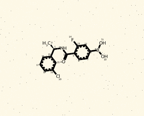 C[C@@H](NC(=O)c1ccc(B(O)O)cc1F)c1cccc(Cl)c1